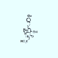 CC(C)(C)c1ccc(CSc2cc(O)c(C(=O)NCC(=O)O)c3ncnn23)cc1